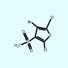 CS(=O)(=O)c1c(Cl)sc(Cl)c1Br